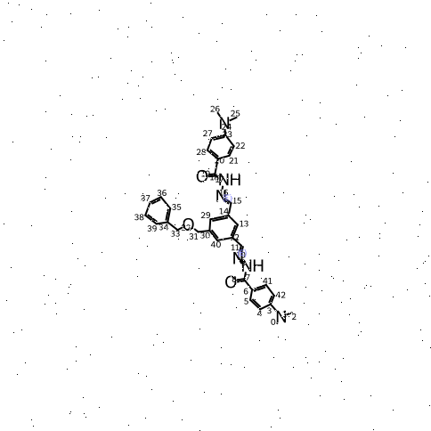 CN(C)c1ccc(C(=O)N/N=C/c2cc(/C=N/NC(=O)c3ccc(N(C)C)cc3)cc(COCc3ccccc3)c2)cc1